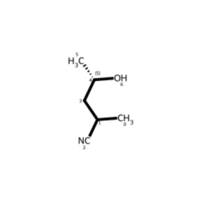 CC(C#N)C[C@H](C)O